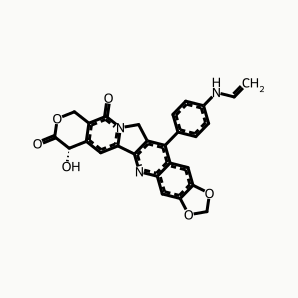 C=CNc1ccc(-c2c3c(nc4cc5c(cc24)OCO5)-c2cc4c(c(=O)n2C3)COC(=O)[C@H]4O)cc1